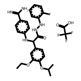 CCOc1cc(C(Nc2ccc(C(=N)N)cc2)C(=O)NNc2ccccc2F)ccc1OC(C)C.O=C(O)C(F)(F)F